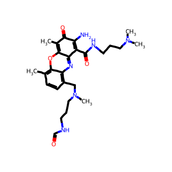 Cc1c2oc3c(C)ccc(CN(C)CCCNC=O)c3nc-2c(C(=O)NCCCN(C)C)c(N)c1=O